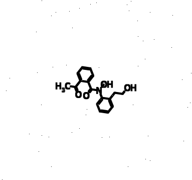 CC(=O)c1ccccc1C(=O)N(O)c1ccccc1CCO